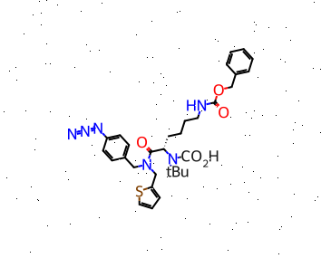 CC(C)(C)N(C(=O)O)[C@@H](CCCCNC(=O)OCc1ccccc1)C(=O)N(Cc1ccc(N=[N+]=[N-])cc1)Cc1cccs1